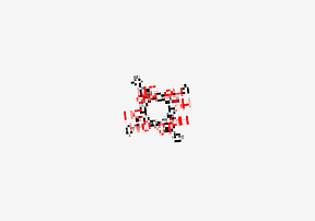 Oc1cc(O)c2cc1C(c1ccc(-c3ccccc3)cc1)c1cc(c(O)cc1O)[C@H](c1ccc(-c3ccccc3)cc1)c1cc(c(O)cc1O)[C@H](c1ccc(-c3ccccc3)cc1)c1cc(c(O)cc1O)C2c1ccc(-c2ccccc2)cc1